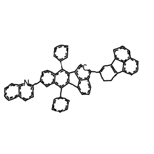 C1=C(c2ccc3c4c(cccc24)-c2c-3c(-c3ccccc3)c3ccc(-c4ccc5ccccc5n4)cc3c2-c2ccccc2)CCC2=C1c1cccc3cccc2c13